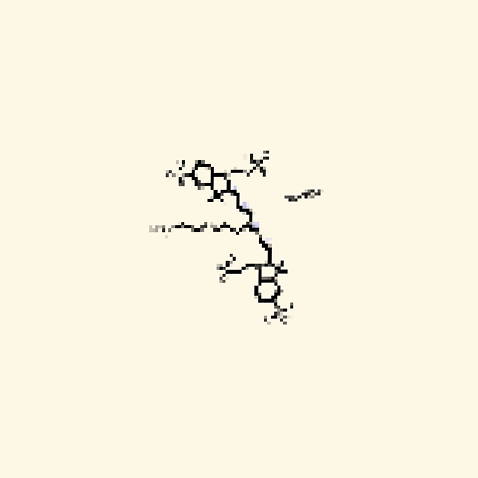 CC1(C)C(/C=C/C=C(/C=C/C=C2/N(CCS(=O)(=O)[O-])c3ccc(S(=O)(=O)[O-])cc3C2(C)C)CCCOCCC(=O)O)=[N+](CCS(=O)(=O)[O-])c2ccc(S(=O)(=O)[O-])cc21.[Na+].[Na+].[Na+]